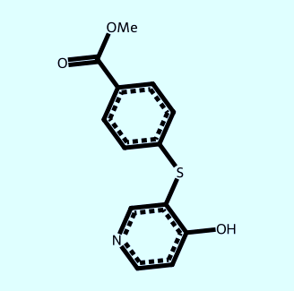 COC(=O)c1ccc(Sc2cnccc2O)cc1